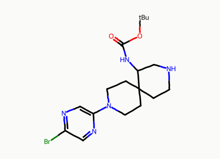 CC(C)(C)OC(=O)NC1CNCCC12CCN(c1cnc(Br)cn1)CC2